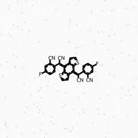 N#C/C(c1ccc(F)cc1C#N)=c1\c2ccsc2/c(=C(/C#N)c2ccc(F)cc2C#N)c2ccsc12